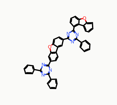 c1ccc(-c2nc(-c3ccccc3)nc(-c3ccc4c(c3)oc3ccc(-c5nc(-c6ccccc6)nc(-c6cccc7oc8ccccc8c67)n5)cc34)n2)cc1